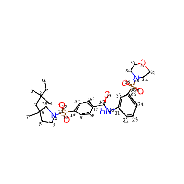 CCC(C)(C)CC1(C)CCN(S(=O)(=O)c2ccc(C(=O)Nc3cccc(S(=O)(=O)N4CCOCC4)c3)cc2)C1